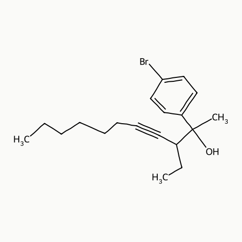 CCCCCCC#CC(CC)C(C)(O)c1ccc(Br)cc1